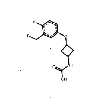 O=C(O)NC1CC(Oc2ccc(F)c(CF)c2)C1